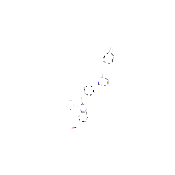 CC1(C)COC[C@H]1n1c(Cc2cc(F)c(-c3cccc(OCc4ccc(Cl)cc4F)n3)cc2F)nc2c(F)cc(C(=O)O)cc21